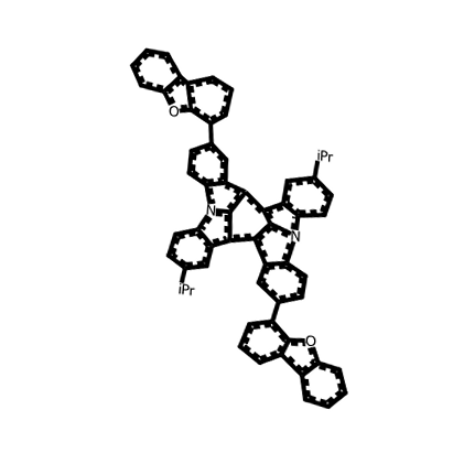 CC(C)c1ccc2c(c1)c1c3c4cc(-c5cccc6c5oc5ccccc56)ccc4n4c5ccc(C(C)C)cc5c(c5c6cc(-c7cccc8c7oc7ccccc78)ccc6n2c51)c34